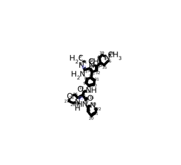 C=C/N=C(/N)c1c(-c2ccc(NC(=O)/C(C(=O)Nc3ccccn3)=C3\COCCN3)cc2)cc(C2CCN(C)CC2)n1C